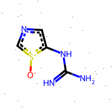 N=C(N)Nc1cnc[s+]1[O-]